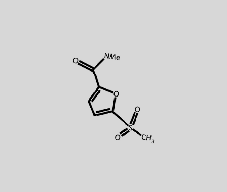 CNC(=O)c1ccc(S(C)(=O)=O)o1